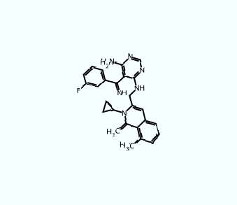 C=C1c2c(C)cccc2C=C(CNc2ncnc(N)c2C(=N)c2cccc(F)c2)N1C1CC1